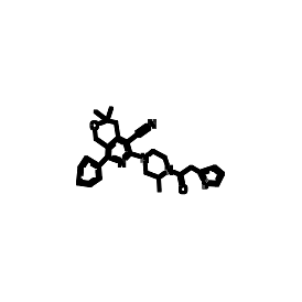 CC1CN(c2nc(-c3ccccc3)c3c(c2C#N)CC(C)(C)OC3)CCN1C(=O)Cc1cccs1